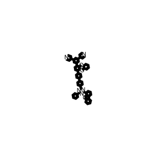 C1=CC2Oc3c(-c4ccc(-c5ccc(-c6nc(-c7ccccc7)nc(-c7cccc8c7oc7ccccc78)n6)cc5)cc4)ccc(-c4cc(-c5ccncc5)cc(-c5ccncc5)c4)c3OC2C=C1